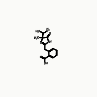 CC(C)C1(C)N=C(Cc2ccccc2C(=O)O)NC1=O